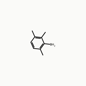 Bc1c(C)ccc(C)c1C